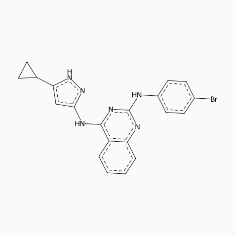 Brc1ccc(Nc2nc(Nc3cc(C4CC4)[nH]n3)c3ccccc3n2)cc1